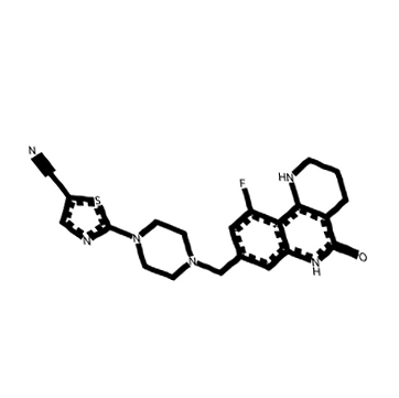 N#Cc1cnc(N2CCN(Cc3cc(F)c4c5c(c(=O)[nH]c4c3)CCCN5)CC2)s1